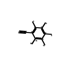 [C]#Cc1c(C)c(C)c(C)c(C)c1C